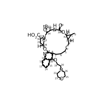 CC1[C@H]2CCCCCc3c(nc4ccccc4c3OCCN3CCOCC3)O[C@@H]3C[C@@H](C(=O)O)N(C3)C(=O)[C@H](C(C)(C)C)NC(=O)O[C@H]12